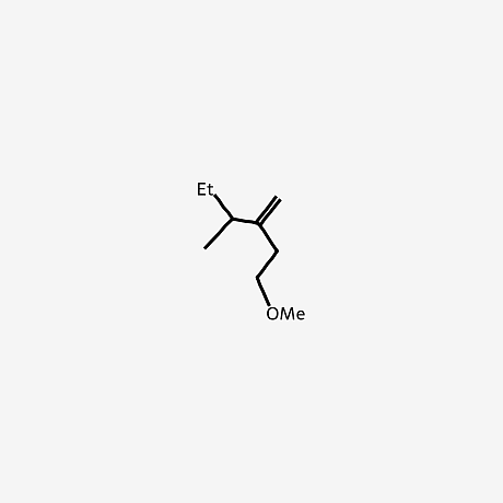 C=C(CCOC)C(C)CC